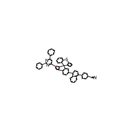 N#Cc1ccc(-c2ccc(-c3ccc4c(c3)C3(c5ccccc5Sc5ccccc53)c3cc(-c5cc(-c6ccccc6)nc(-c6ccccc6)n5)ccc3-4)c3ccccc23)cc1